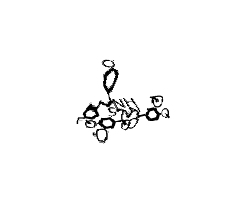 COc1ccc(-c2nc(N(NC(=O)c3ccc(OC)c(OC)c3)C(=O)c3ccc(OC)c(OC)c3)sc2Cc2ccc(F)cc2)cc1